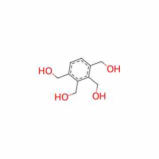 OCc1ccc(CO)c(CO)c1CO